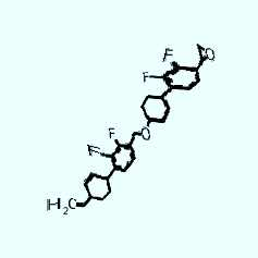 C=CC1CCC(c2ccc(COC3CCC(c4ccc(C5CO5)c(F)c4F)CC3)c(F)c2F)CC1